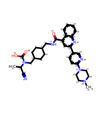 CC(C#N)N(CC1CCC(CNC(=O)c2cc(-c3ccc(N4CCN(C)CC4)nc3)nc3ccccc23)CC1)C(=O)O